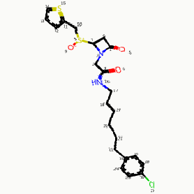 O=C(CN1C(=O)CC1[S+]([O-])Cc1cccs1)NCCCCCCc1ccc(Cl)cc1